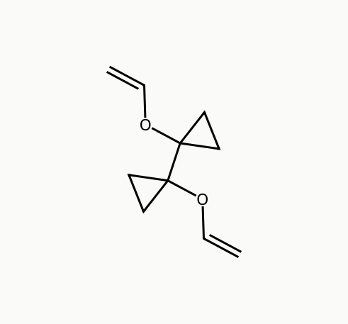 C=COC1(C2(OC=C)CC2)CC1